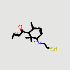 C/C=C/C(=O)C1C(C)C=CC(NCCS)C1(C)C